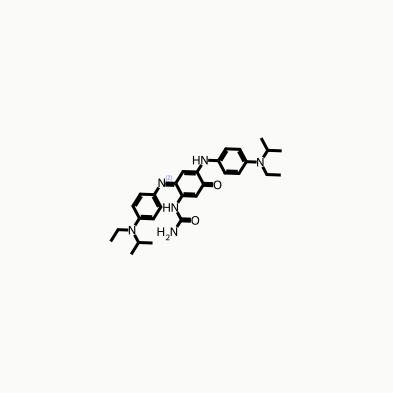 CCN(c1ccc(/N=C2/C=C(Nc3ccc(N(CC)C(C)C)cc3)C(=O)C=C2NC(N)=O)cc1)C(C)C